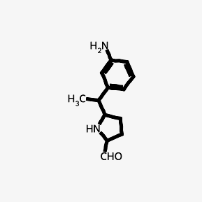 CC(c1cccc(N)c1)C1CCC(C=O)N1